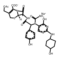 CC(=O)OCC1=C(C(=O)[O-])N2C(=O)C(NC(=O)C(c3ccc(O)cc3)N(C(N)=O)c3cnc(NC4CCC(O)CC4)nc3O)[C@@H]2SC1.[Na+]